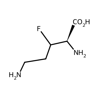 NCCC(F)[C@H](N)C(=O)O